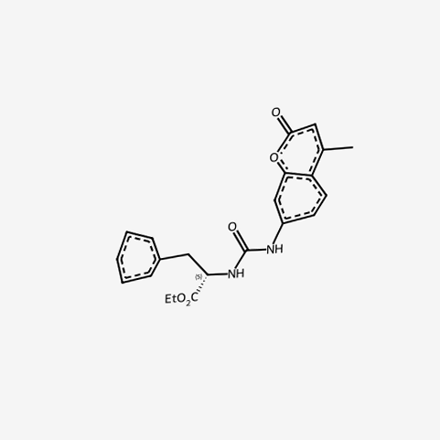 CCOC(=O)[C@H](Cc1ccccc1)NC(=O)Nc1ccc2c(C)cc(=O)oc2c1